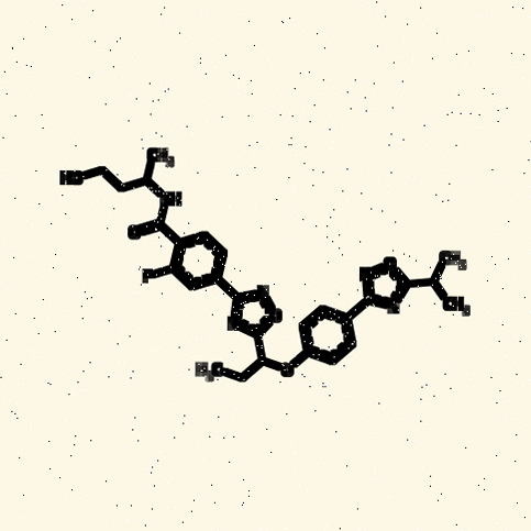 CCC(Oc1ccc(-c2noc(C(C)C)n2)cc1)c1nc(-c2ccc(C(=O)NC(C)CCO)c(F)c2)no1